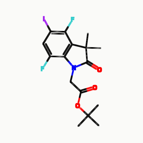 CC(C)(C)OC(=O)CN1C(=O)C(C)(C)c2c(F)c(I)cc(F)c21